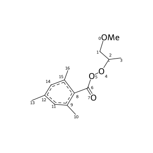 COC[C](C)OOC(=O)c1c(C)cc(C)cc1C